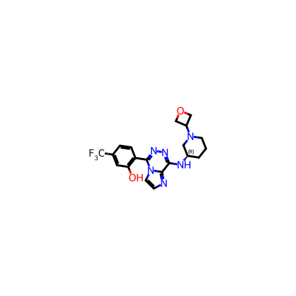 Oc1cc(C(F)(F)F)ccc1-c1nnc(N[C@@H]2CCCN(C3COC3)C2)c2nccn12